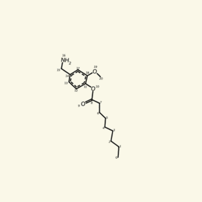 CCCCCCCCC(=O)Oc1ccc(CN)cc1OC